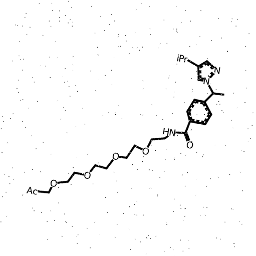 CC(=O)COCCOCCOCCOCCNC(=O)c1ccc(C(C)n2cc(C(C)C)cn2)cc1